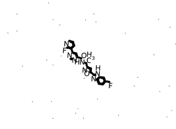 C[C@@H](NC(=O)c1cc(-c2cccnc2F)ncn1)c1cc(-c2nc3ccc(CF)cc3[nH]2)on1